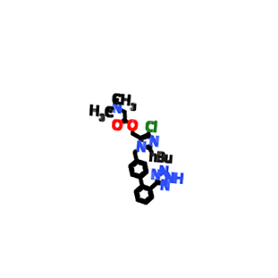 CCCCc1nc(Cl)c(COC(=O)CN(C)C)n1Cc1ccc(-c2ccccc2-c2nn[nH]n2)cc1